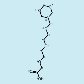 O=C(O)COCCOCCOCN1COCOC1